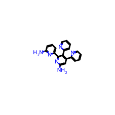 Nc1cccc(-c2nc(N)cc(-c3ccccn3)c2-c2ccccn2)n1